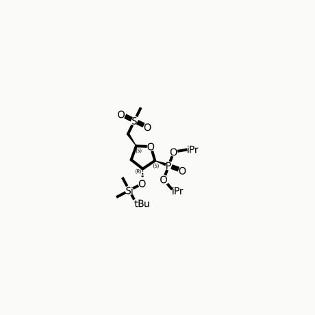 CC(C)OP(=O)(OC(C)C)[C@@H]1O[C@H](CS(C)(=O)=O)C[C@H]1O[Si](C)(C)C(C)(C)C